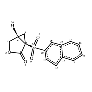 O=C1OC[C@@H]2C[C@]12S(=O)(=O)c1ccc2ccccc2c1